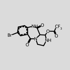 O=C1Nc2ccc(Br)cc2C(=O)N2CCNC(OC(=O)C(F)(F)F)C12